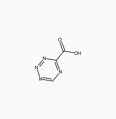 O=C(O)c1ncnnn1